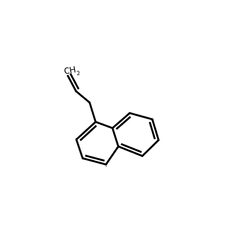 C=CCc1cc[c]c2ccccc12